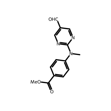 COC(=O)c1ccc(N(C)c2ncc(C=O)cn2)cc1